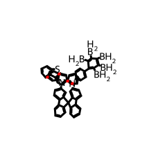 Bc1c(B)c(B)c(-c2ccc(N(c3ccc4c(c3)C3(c5ccccc5-c5ccc(N(c6ccccc6)c6ccccc6)cc53)c3ccccc3-4)c3ccc4c(c3)sc3ccccc34)cc2)c(B)c1B